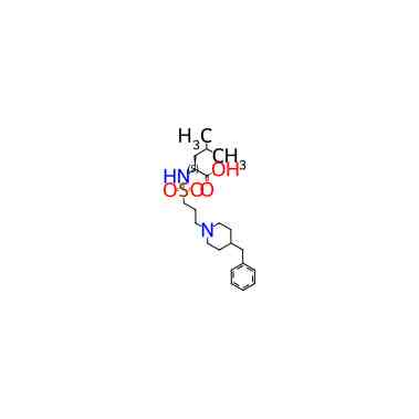 CC(C)C[C@H](NS(=O)(=O)CCCN1CCC(Cc2ccccc2)CC1)C(=O)O